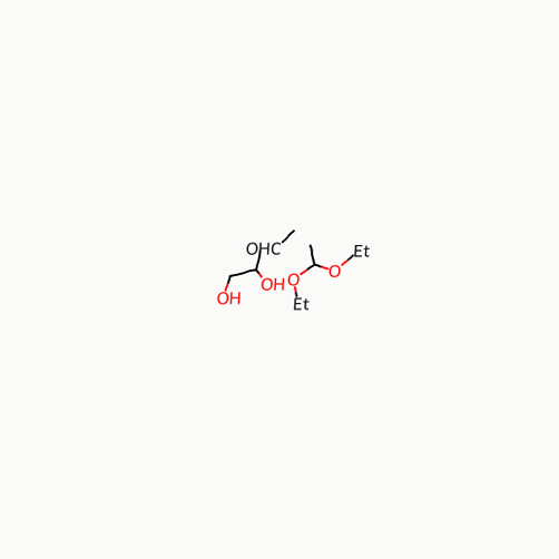 CC(O)CO.CC=O.CCOC(C)OCC